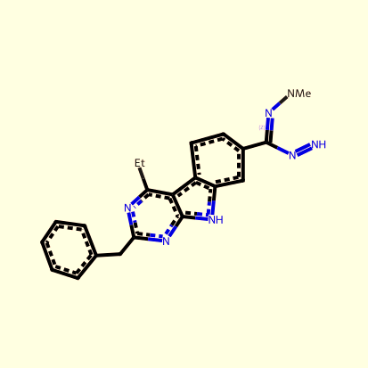 CCc1nc(Cc2ccccc2)nc2[nH]c3cc(/C(N=N)=N/NC)ccc3c12